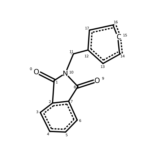 O=C1c2ccccc2C(=O)N1[CH]c1ccccc1